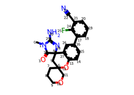 CN1C(=O)C2(CC3(CCCOC3)Oc3ccc(-c4cccc(C#N)c4F)cc32)N=C1N